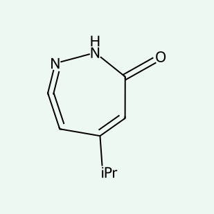 CC(C)C1=CC(=O)NN=C=C1